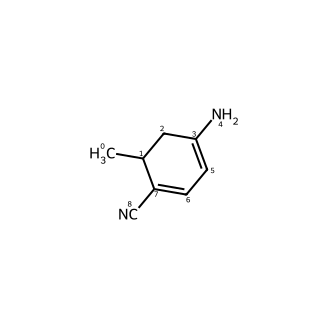 CC1CC(N)=CC=C1C#N